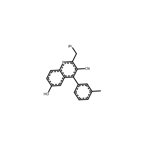 Cc1cccc(-c2c(C#N)c(CC(C)C)nc3ccc(O)cc23)c1